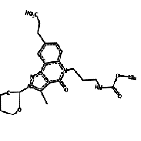 Cc1c2c(=O)n(CCCNC(=O)OC(C)(C)C)c3ccc(CCC(=O)O)cc3c2nn1C1CCCCO1